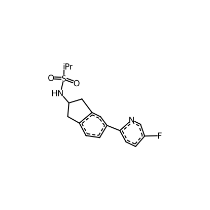 CC(C)S(=O)(=O)NC1Cc2ccc(-c3ccc(F)cn3)cc2C1